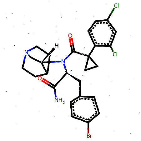 NC(=O)[C@H](Cc1ccc(Br)cc1)N(C(=O)C1(c2ccc(Cl)cc2Cl)CC1)[C@H]1CN2CCC1CC2